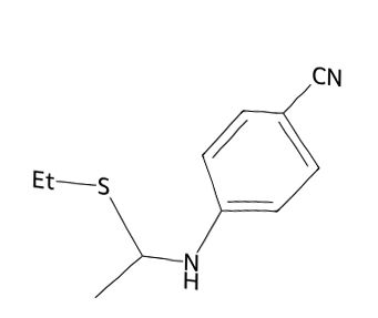 CCSC(C)Nc1ccc(C#N)cc1